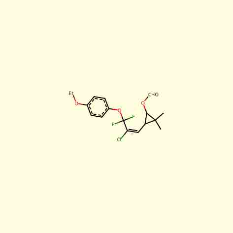 CCOc1ccc(OC(F)(F)/C(Cl)=C\C2C(OC=O)C2(C)C)cc1